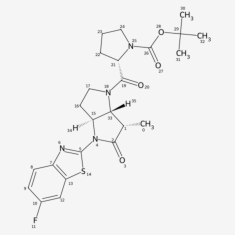 C[C@@H]1C(=O)N(c2nc3ccc(F)cc3s2)[C@H]2CCN(C(=O)[C@@H]3CCCN3C(=O)OC(C)(C)C)[C@H]12